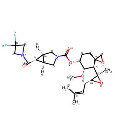 CO[C@@H]1[C@H](OC(=O)N2C[C@@H]3[C@H](C2)[C@H]3C(=O)N2CC(F)(F)C2)CC[C@]2(CO2)[C@H]1[C@@]1(C)O[C@@H]1CC=C(C)C